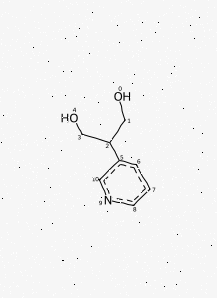 OCC(CO)c1cccnc1